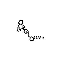 COc1cccc(CCN2CCC(C3Oc4ccccc4Cn4cccc43)CC2)c1